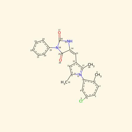 Cc1ccc(Cl)cc1-n1c(C)cc(C=C2NC(=O)N(c3ccccc3)C2=O)c1C